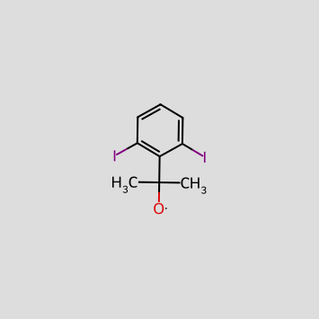 CC(C)([O])c1c(I)cccc1I